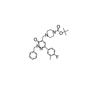 Cc1cc(-c2cc(CN3CCN(C(=O)OC(C)(C)C)CC3)c(=O)n(Cc3ccccc3)n2)ccc1F